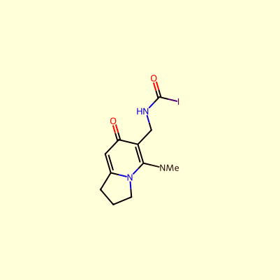 CNc1c(CNC(=O)I)c(=O)cc2n1CCC2